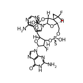 Nc1nc2c(ncn2[C@@H]2O[C@@H]3COP(O)(=S)O[C@H]4[C@H](n5ccc6c(N)ncnc65)O[C@H](COP(O)(=S)O[C@H]3[C@H]2F)[C@]42CC2(F)F)c(=O)[nH]1